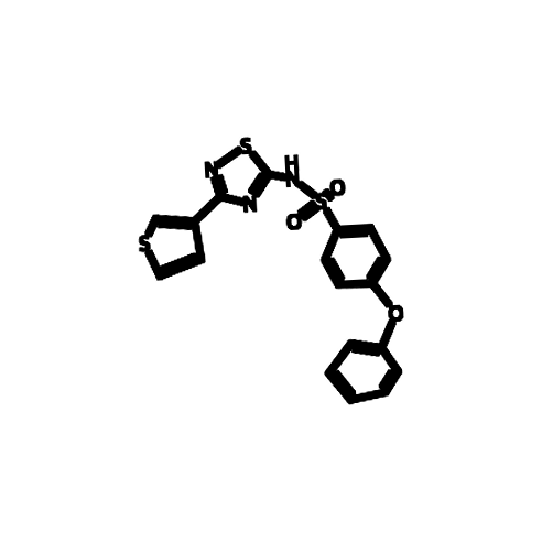 O=S(=O)(Nc1nc(-c2ccsc2)ns1)c1ccc(Oc2ccccc2)cc1